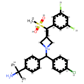 CC(C)C(N)(c1ccc(C(c2ccc(Cl)cc2)N2CC(=C(c3cc(F)cc(F)c3)S(C)(=O)=O)C2)cc1)C(C)C